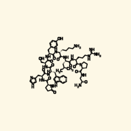 CC(C)C[C@H](NC(=O)[C@@H](CCCCN)NC(=O)[C@H](Cc1ccc(O)cc1)NC(=O)[C@H](CO)NC(=O)[C@H](Cc1c[nH]c2ccccc12)NC(=O)[C@H](Cc1c[nH]cn1)NC(=O)[C@@H]1CCC(=O)N1)C(=O)N[C@@H](CCCNC(=N)N)C(=O)N1CCC[C@H]1C(=O)NCC(N)=O